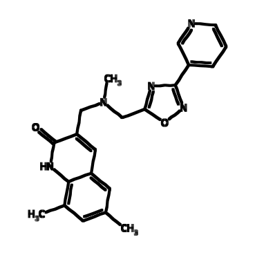 Cc1cc(C)c2[nH]c(=O)c(CN(C)Cc3nc(-c4cccnc4)no3)cc2c1